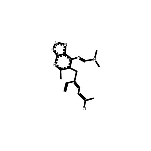 C=C/C(=C\C=C(/C)Cl)Cc1c(C)nc2nonc2c1/N=C/N(C)C